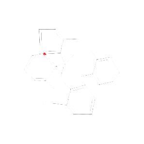 Cc1ccccc1[O][Ti](=[O])([O]c1ccccc1C)([c]1ccccc1C)[c]1ccccc1C